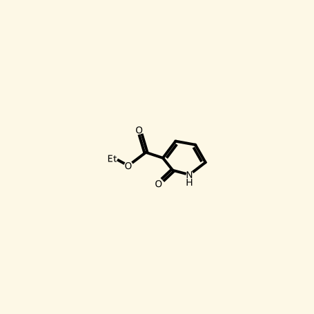 CCOC(=O)c1ccc[nH]c1=O